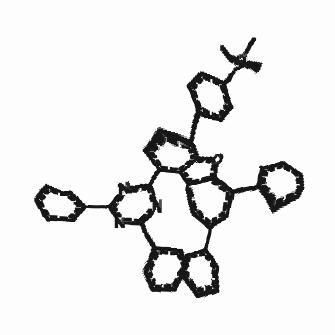 C[Si](C)(C)c1ccc(-c2ccc(-c3nc(-c4ccccc4)nc(-c4ccccc4)n3)c3c2oc2c(-c4ccccc4)cc(-c4ccccc4)cc23)cc1